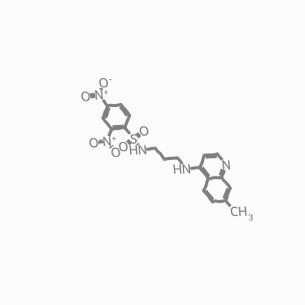 Cc1ccc2c(NCCCNS(=O)(=O)c3ccc([N+](=O)[O-])cc3[N+](=O)[O-])ccnc2c1